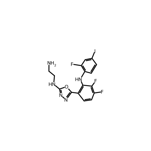 NCCNc1nnc(-c2ccc(F)c(F)c2Nc2ccc(I)cc2F)o1